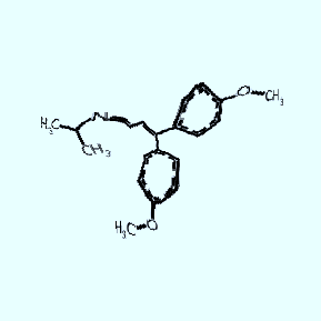 COc1ccc(C(=CC=NC(C)C)c2ccc(OC)cc2)cc1